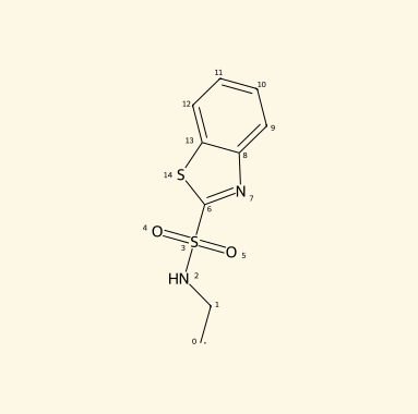 [CH2]CNS(=O)(=O)c1nc2ccccc2s1